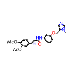 COc1ccc(/C=C/C(=O)Nc2cccc(OCc3cncn3C)c2)cc1OC(C)=O